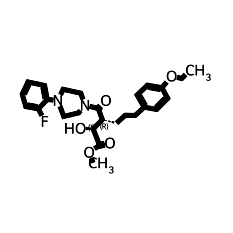 CCOc1ccc(CCC[C@@H](C(=O)N2CCN(c3ccccc3F)CC2)[C@H](O)C(=O)OC)cc1